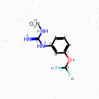 N=C(Nc1cccc(OC(F)F)c1)N[N+](=O)[O-]